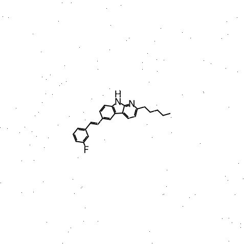 CCCCCc1ccc2c(n1)[nH]c1ccc(C=Cc3cccc(F)c3)cc12